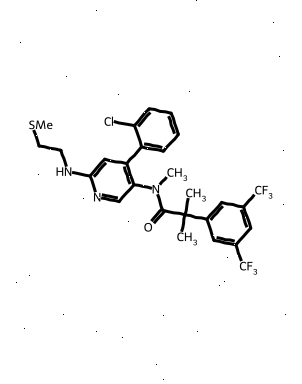 CSCCNc1cc(-c2ccccc2Cl)c(N(C)C(=O)C(C)(C)c2cc(C(F)(F)F)cc(C(F)(F)F)c2)cn1